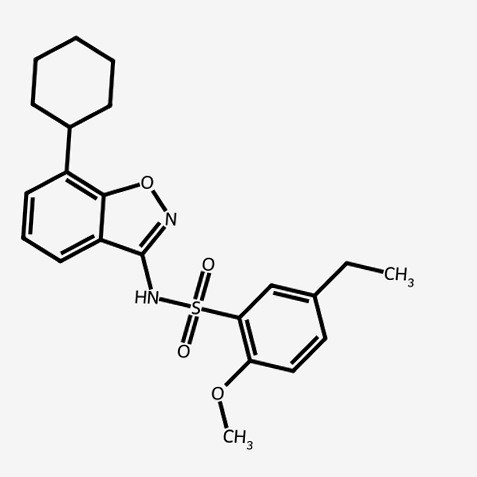 CCc1ccc(OC)c(S(=O)(=O)Nc2noc3c(C4CCCCC4)cccc23)c1